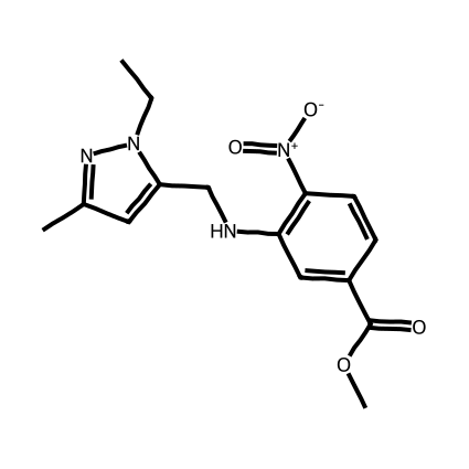 CCn1nc(C)cc1CNc1cc(C(=O)OC)ccc1[N+](=O)[O-]